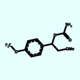 COCC(OC(N)=O)c1ccc(OC(F)(F)F)cc1